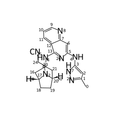 Cc1cc(Nc2cc3ncccc3c(N[C@H]3C[C@H]4CC[C@@H](C3)N4CCC#N)n2)[nH]n1